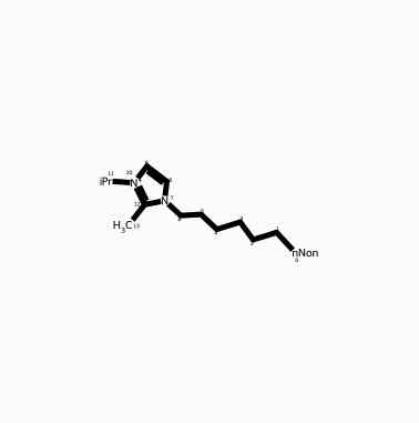 CCCCCCCCCCCCCCCn1cc[n+](C(C)C)c1C